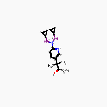 COC(=O)C(C)(C)c1ccc(N(PC2CC2)PC2CC2)nc1